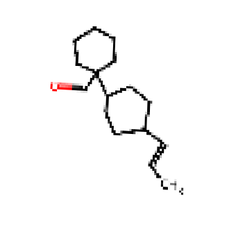 C/C=C/C1CCC(C2(C=O)CCCCC2)CC1